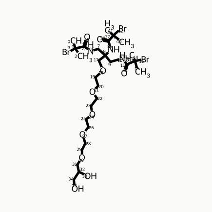 CC(C)(Br)C(=O)NCC(CNC(=O)C(C)(C)Br)(COCCOCCOCCOCCOCC(O)CO)NC(=O)C(C)(C)Br